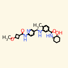 COC1CC(C(=O)Nc2ccc(CNc3cc(C(=O)N[C@H]4CCCC[C@@H]4O)ccc3C)cn2)C1